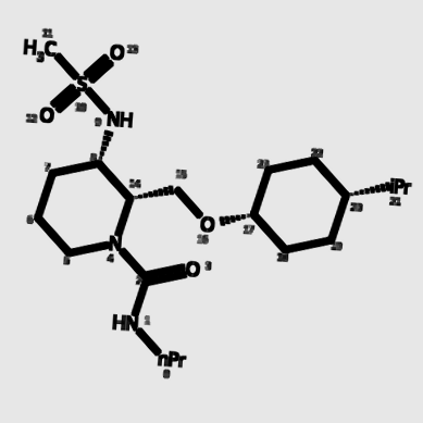 CCCNC(=O)N1CCC[C@H](NS(C)(=O)=O)[C@@H]1CO[C@H]1CC[C@@H](C(C)C)CC1